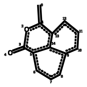 C=c1oc(=O)c2cccc3cccc1c32